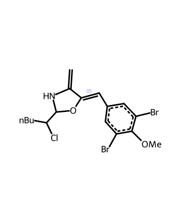 C=C1NC(C(Cl)CCCC)O/C1=C\c1cc(Br)c(OC)c(Br)c1